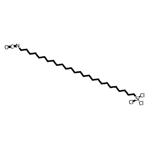 O=C=NCCCCCCCCCCCCCCCCCCCCCCCCCC[Si](Cl)(Cl)Cl